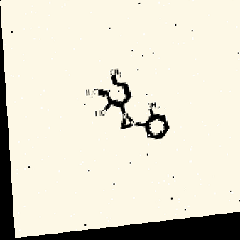 C=C/C=C\C(=C(\O)C=C)N1CN1c1ccccc1N